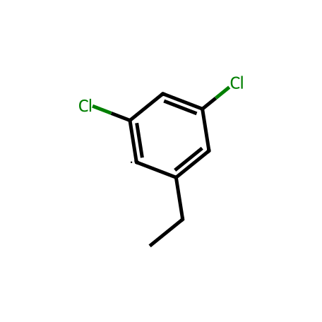 CCc1[c]c(Cl)cc(Cl)c1